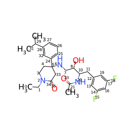 CCN1CCC(NCC(O)C(Cc2cc(F)cc(F)c2)NC(C)=O)(c2cccc(C(C)C)c2)CC1=O